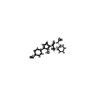 CC(C)(C)c1ccc(-c2onc(C(=O)N[C@H]3CCCC[C@H]3CO)c2Cl)cc1